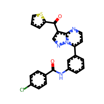 O=C(Nc1cccc(-c2ccnc3c(C(=O)c4cccs4)cnn23)c1)c1ccc(Cl)cc1